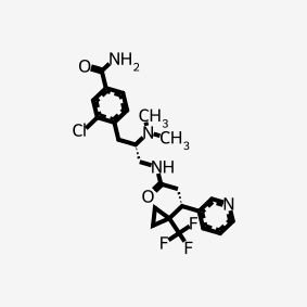 CN(C)[C@H](CNC(=O)C[C@H](c1cccnc1)C1(C(F)(F)F)CC1)Cc1ccc(C(N)=O)cc1Cl